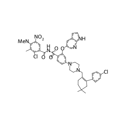 CNc1c([N+](=O)[O-])cc(C(=O)NS(=O)(=O)c2ccc(N3CCN(CC4=C(c5ccc(Cl)cc5)CC(C)(C)CC4)CC3)cc2Oc2cnc3[nH]ccc3c2)c(Cl)c1C